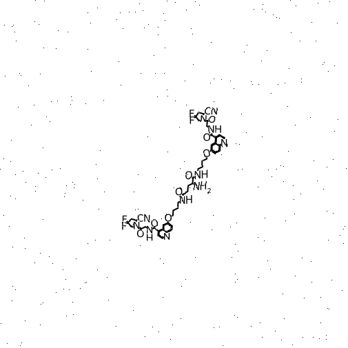 N#C[C@@H]1CC(F)(F)CN1C(=O)CNC(=O)c1ccnc2ccc(OCCCCNC(=O)CC[C@H](N)C(=O)NCCCCOc3ccc4nccc(C(=O)NCC(=O)N5CC(F)(F)C[C@H]5C#N)c4c3)cc12